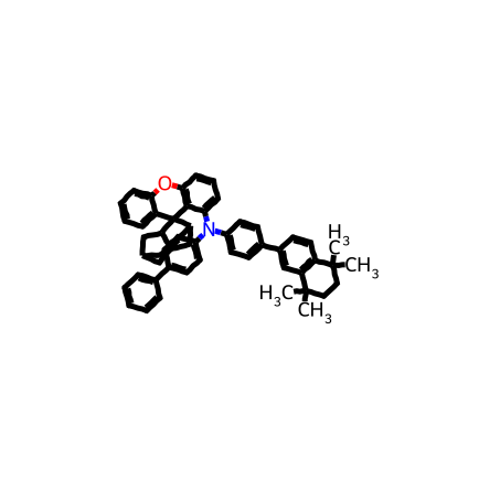 CC1(C)CCC(C)(C)c2cc(-c3ccc(N(c4ccc(-c5ccccc5)cc4)c4cccc5c4C4(c6ccccc6O5)C5CC6CC(C5)C4C6)cc3)ccc21